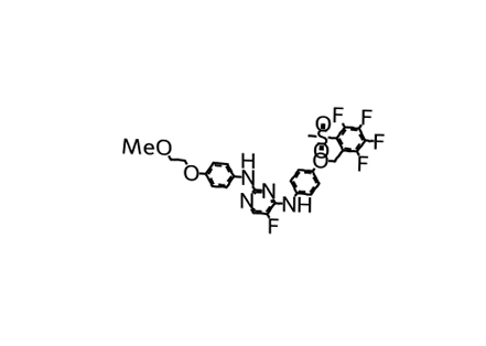 COCCOc1ccc(Nc2ncc(F)c(Nc3ccc(OCc4c(F)c(F)c(F)c(F)c4S(C)(=O)=O)cc3)n2)cc1